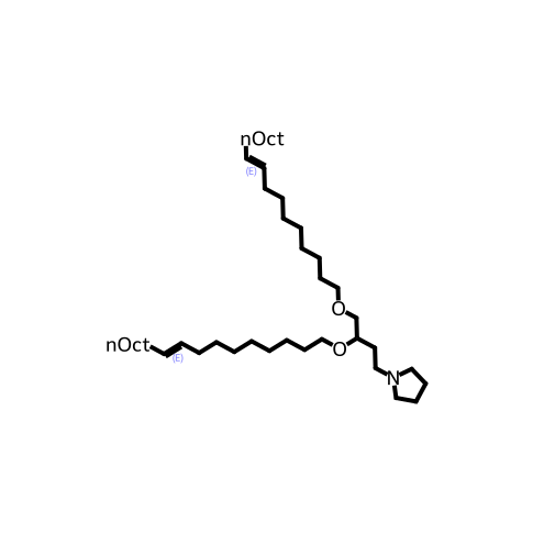 CCCCCCCC/C=C/CCCCCCCCOCC(CCN1CCCC1)OCCCCCCCC/C=C/CCCCCCCC